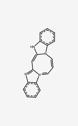 C1=C\N2/C(=C\C3=Nc4ccccc4/[N+]3=C/1)Nc1ccccc12